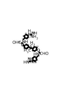 CC(C)(c1ccc(OC(C=O)NCc2ccc(NC(=N)N)cc2)cc1)c1ccc(OC(C=O)NCc2ccc(NC(=N)N)cc2)cc1